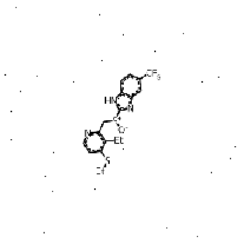 CCSc1ccnc(C[S+]([O-])c2nc3cc(C(F)(F)F)ccc3[nH]2)c1CC